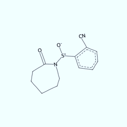 N#Cc1ccccc1[S+]([O-])N1CCCCCC1=O